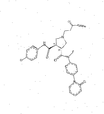 COC(=O)CCN1C[C@H](C(=O)Nc2ccc(Cl)cc2)[C@@H](C(=O)N(F)c2ccc(-n3ccccc3=O)cc2)C1